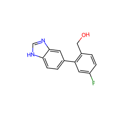 OCc1ccc(F)cc1-c1ccc2[nH]cnc2c1